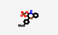 COc1ccc(C2Sc3ccccc3NC(=O)C2OS(C)(=O)=O)cc1